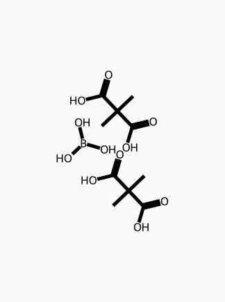 CC(C)(C(=O)O)C(=O)O.CC(C)(C(=O)O)C(=O)O.OB(O)O